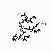 CC(C)CC(C)OP(OC(C)CC(C)C)SCC(C)OP(OC(C)CSP(OC(C)CC(C)C)OC(C)CC(C)C)SCC(C)OP(OC(C)C)SCCC=O